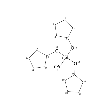 [CH2]CC[Si](OC1CCCC1)(OC1CCCC1)OC1CCCC1